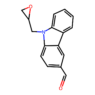 O=Cc1ccc2c(c1)c1ccccc1n2CC1CO1